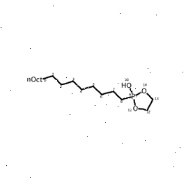 CCCCCCCCCCCCCCCC[P]1(O)OCCO1